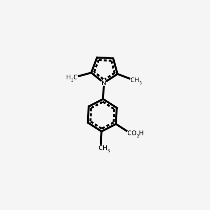 Cc1ccc(-n2c(C)ccc2C)cc1C(=O)O